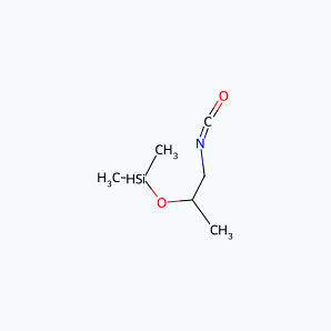 CC(CN=C=O)O[SiH](C)C